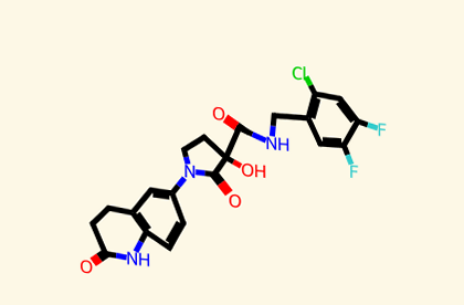 O=C1CCc2cc(N3CCC(O)(C(=O)NCc4cc(F)c(F)cc4Cl)C3=O)ccc2N1